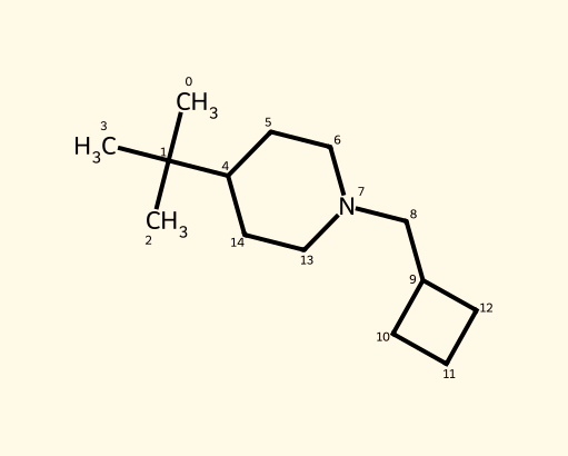 CC(C)(C)C1CCN(CC2CCC2)CC1